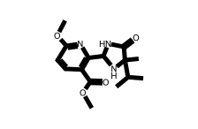 COC(=O)c1ccc(OC)nc1C1NC(=O)C(C)(C(C)C)N1